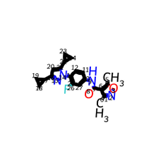 Cc1noc(C)c1C(=O)Nc1ccc(-n2nc(C3CC3)cc2C2CC2)c(F)c1